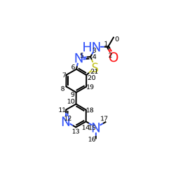 CC(=O)Nc1nc2ccc(-c3cncc(N(C)C)c3)cc2s1